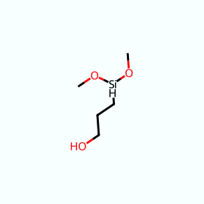 CO[SiH](CCCO)OC